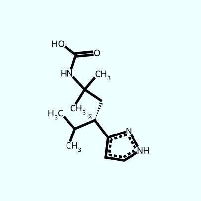 CC(C)[C@H](CC(C)(C)NC(=O)O)c1cc[nH]n1